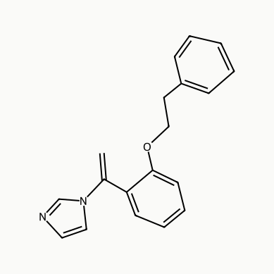 C=C(c1ccccc1OCCc1ccccc1)n1ccnc1